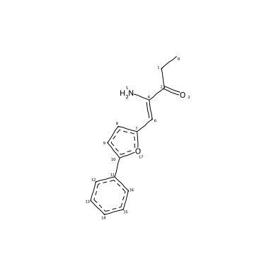 CCC(=O)/C(N)=C/c1ccc(-c2ccccc2)o1